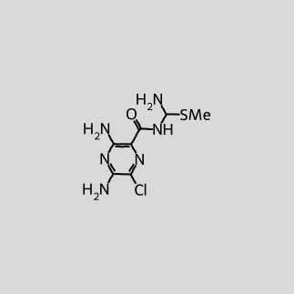 CSC(N)NC(=O)c1nc(Cl)c(N)nc1N